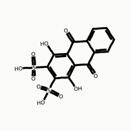 O=C1c2ccccc2C(=O)c2c(O)c(S(=O)(=O)O)c(S(=O)(=O)O)c(O)c21